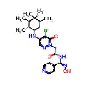 C[C@@H]1[C@@H](C)C(C)(C)[C@@H](C)C[C@H]1Nc1cnn(CC(=O)N/C(=N/O)c2ccncc2)c(=O)c1Br